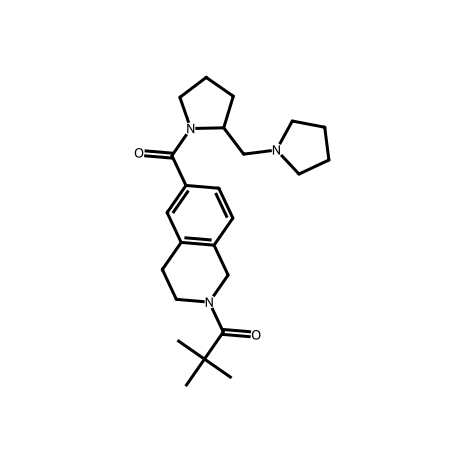 CC(C)(C)C(=O)N1CCc2cc(C(=O)N3CCCC3CN3CCCC3)ccc2C1